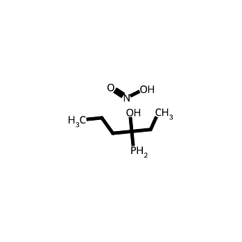 CCCC(O)(P)CC.O=NO